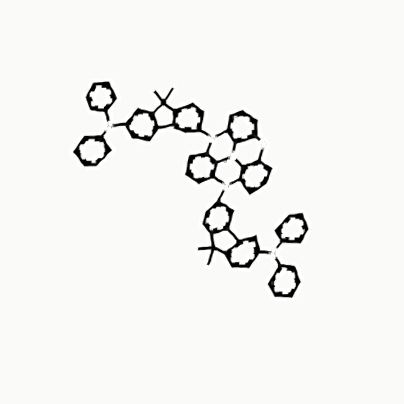 CC1(C)c2ccc(N(c3ccccc3)c3ccccc3)cc2-c2cc(N3c4cccc5c4P4(=S)c6c(cccc6N(c6ccc7c(c6)-c6ccc(N(c8ccccc8)c8ccccc8)cc6C7(C)C)c6cccc3c64)O5)ccc21